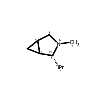 CC(C)[C@@H]1C2CC2CN1C